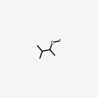 CC(C)C(C)OF